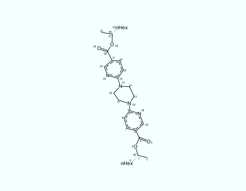 CCCCCC[C@@H](C)OC(=O)c1ccc(N2CCN(c3ccc(C(=O)O[C@H](C)CCCCCC)cn3)CC2)nc1